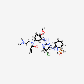 C=CC(=O)N(CCN(C)C)c1ccc(OC)c(Nc2ncc(Cl)c(Nc3ccccc3P(C)(C)=O)n2)c1